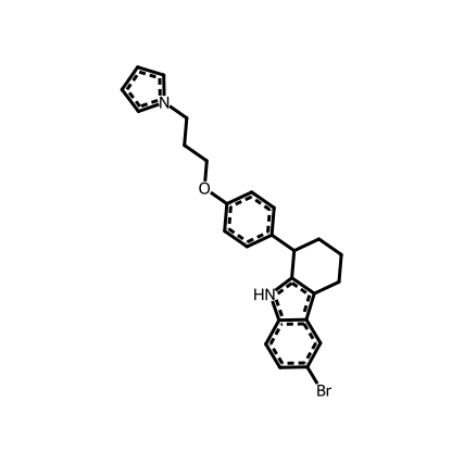 Brc1ccc2[nH]c3c(c2c1)CCCC3c1ccc(OCCCn2cccc2)cc1